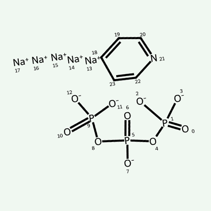 O=P([O-])([O-])OP(=O)([O-])OP(=O)([O-])[O-].[Na+].[Na+].[Na+].[Na+].[Na+].c1ccncc1